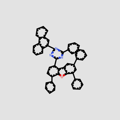 c1ccc(-c2cc(-c3ccccc3)c3oc4c(-c5ccccc5)ccc(-c5nc(-c6ccccc6)nc(-c6cc7ccccc7c7ccccc67)n5)c4c3c2)cc1